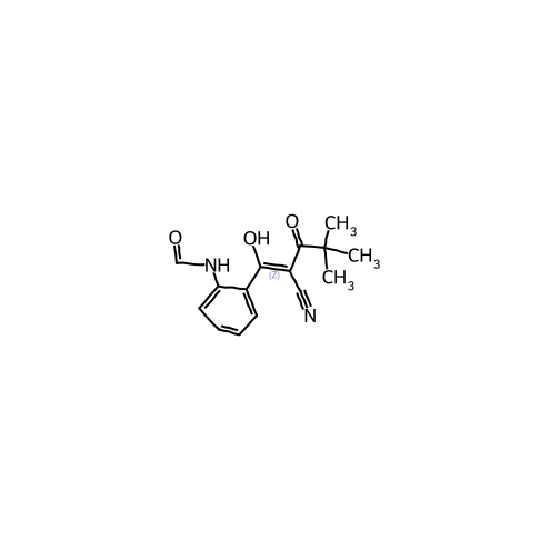 CC(C)(C)C(=O)/C(C#N)=C(\O)c1ccccc1NC=O